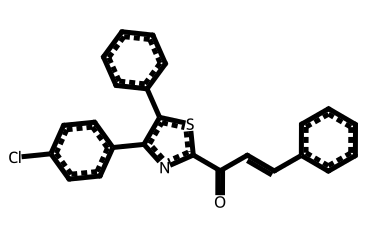 O=C(C=Cc1ccccc1)c1nc(-c2ccc(Cl)cc2)c(-c2ccccc2)s1